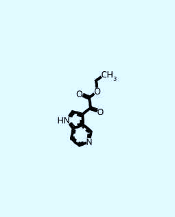 CCOC(=O)C(=O)c1c[nH]c2ccncc12